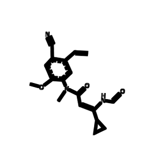 C=Cc1cc(N(C)C(=O)/C=C(\NC=O)C2CC2)c(OC)cc1C#N